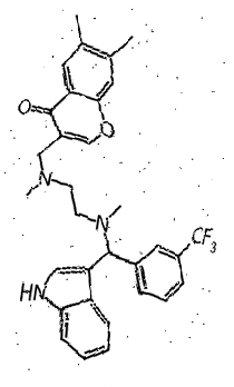 Cc1cc2occ(CN(C)CCN(C)C(c3cccc(C(F)(F)F)c3)c3c[nH]c4ccccc34)c(=O)c2cc1C